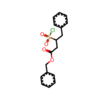 O=C(CC(Cc1ccccc1)S(=O)(=O)Cl)OCc1ccccc1